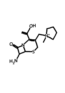 C=C(O)C1=C(C[N+]2(C)CCCC2)CSC2C(N)C(=O)N12